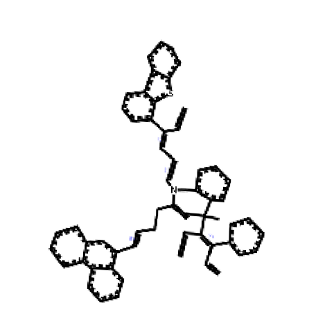 C=C/C(=C(\C=C)C(C)(C)c1ccccc1N(/C=C/C=C(\C=C)c1cccc2c1sc1ccccc12)C(=C)CC/C=C/c1cc2ccccc2c2ccccc12)c1ccccc1